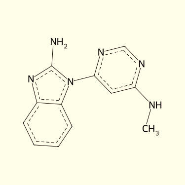 CNc1cc(-n2c(N)nc3ccccc32)ncn1